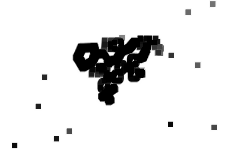 CCOC(OC)O[C@H]([C@H](CC1CCCCC1)NC(=O)OC(C)(C)C)[C@@H](O)CCN